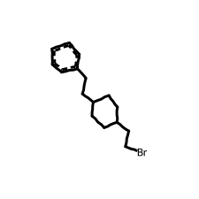 BrCCC1CCC(CCc2ccccc2)CC1